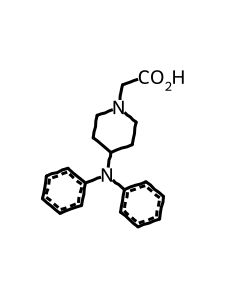 O=C(O)CN1CCC(N(c2ccccc2)c2ccccc2)CC1